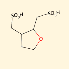 O=S(=O)(O)CC1CCOC1CS(=O)(=O)O